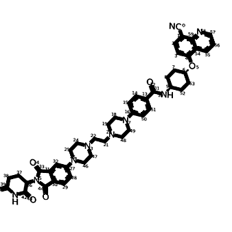 N#Cc1ccc(O[C@H]2CC[C@H](NC(=O)c3ccc(N4CCN(CCN5CCN(c6ccc7c(c6)C(=O)N(C6CCC(=O)NC6=O)C7=O)CC5)CC4)cc3)CC2)c2cccnc12